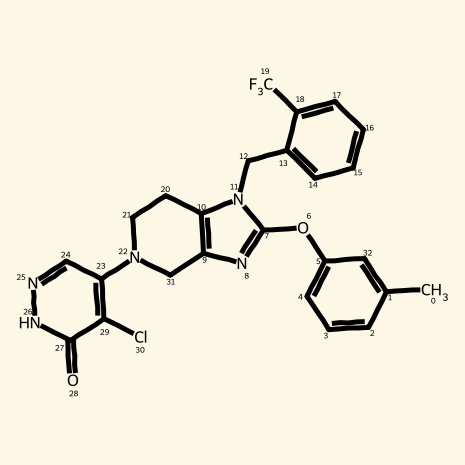 Cc1cccc(Oc2nc3c(n2Cc2ccccc2C(F)(F)F)CCN(c2cn[nH]c(=O)c2Cl)C3)c1